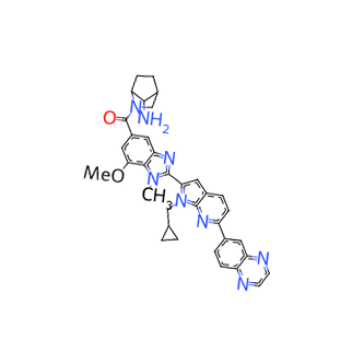 COc1cc(C(=O)N2CC3CCC2C3N)cc2nc(-c3cc4ccc(-c5ccc6nccnc6c5)nc4n3CC3CC3)n(C)c12